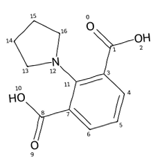 O=C(O)c1cccc(C(=O)O)c1N1CCCC1